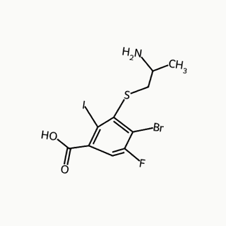 CC(N)CSc1c(Br)c(F)cc(C(=O)O)c1I